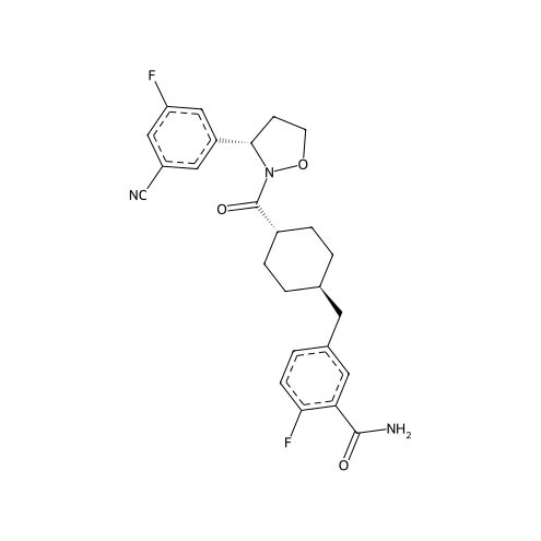 N#Cc1cc(F)cc([C@@H]2CCON2C(=O)[C@H]2CC[C@H](Cc3ccc(F)c(C(N)=O)c3)CC2)c1